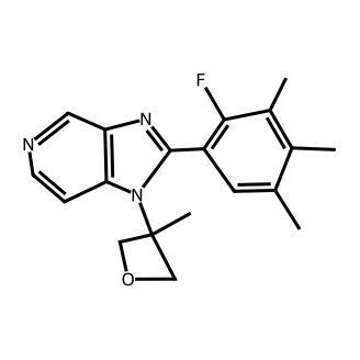 Cc1cc(-c2nc3cnccc3n2C2(C)COC2)c(F)c(C)c1C